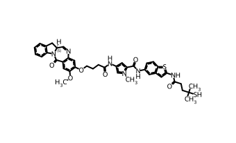 COc1cc2c(cc1OCCCC(=O)Nc1cc(C(=O)Nc3ccc4sc(NC(=O)CCC(C)(C)S)cc4c3)n(C)c1)N=C[C@@H]1Cc3ccccc3N1C2=O